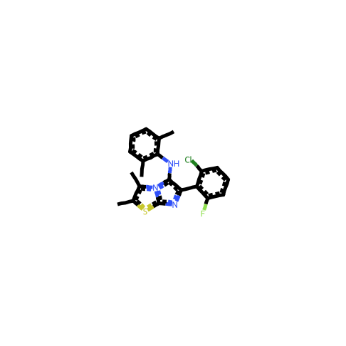 Cc1cccc(C)c1Nc1c(-c2c(F)cccc2Cl)nc2sc(C)c(C)n12